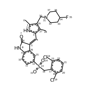 Cc1[nH]c(/C=C2\C(=O)Nc3ccc(S(=O)(=O)Cc4c(Cl)cccc4Cl)cc32)c(C)c1CN1CCC(F)CC1